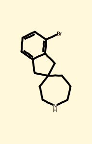 Brc1cccc2c1CC1(CCCNCC1)C2